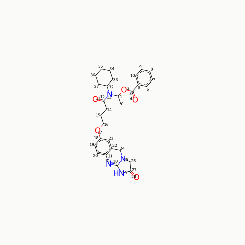 CC(OC(=O)c1ccccc1)N(C(=O)CCCOc1ccc2c(c1)CN1CC(=O)NC1=N2)C1CCCCC1